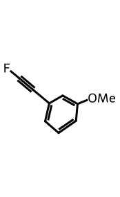 COc1cccc(C#CF)c1